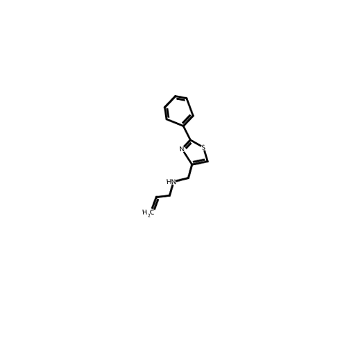 C=CCNCc1csc(-c2ccccc2)n1